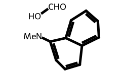 CNc1cccc2ccccc12.O=CO